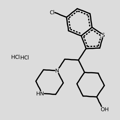 Cl.Cl.OC1CCC(C(CN2CCNCC2)c2csc3ccc(Cl)cc23)CC1